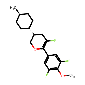 C[C@H]1CC[C@H](C2COC(c3cc(F)c(OC(F)(F)F)c(F)c3)=C(F)C2)CC1